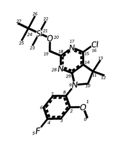 COc1cc(F)ccc1N1CC(C)(C)c2c(Cl)nc(CO[Si](C)(C)C(C)(C)C)nc21